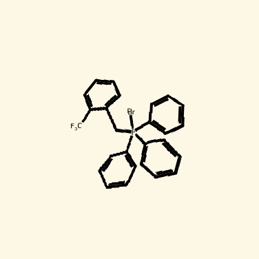 FC(F)(F)c1ccccc1CP(Br)(c1ccccc1)(c1ccccc1)c1ccccc1